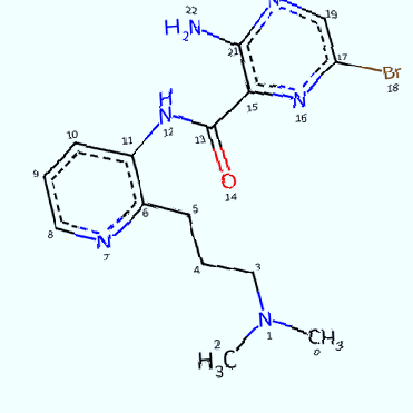 CN(C)CCCc1ncccc1NC(=O)c1nc(Br)cnc1N